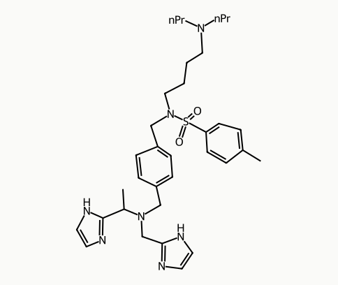 CCCN(CCC)CCCCN(Cc1ccc(CN(Cc2ncc[nH]2)C(C)c2ncc[nH]2)cc1)S(=O)(=O)c1ccc(C)cc1